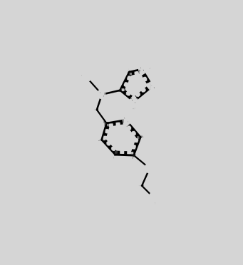 CC(=O)N(Cc1ccc(OCC(F)(F)F)cn1)c1c[nH]nn1